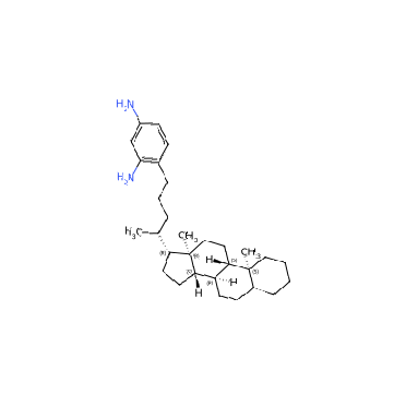 CC(CCCc1ccc(N)cc1N)[C@H]1CC[C@H]2[C@@H]3CCC4CCCC[C@]4(C)[C@H]3CC[C@]12C